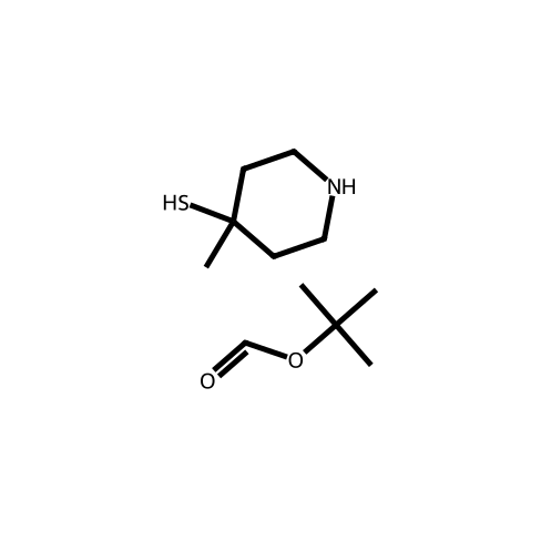 CC(C)(C)OC=O.CC1(S)CCNCC1